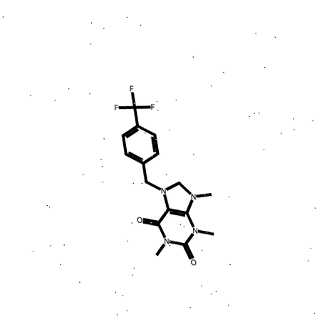 CN1CN(Cc2ccc(C(F)(F)F)cc2)c2c1n(C)c(=O)n(C)c2=O